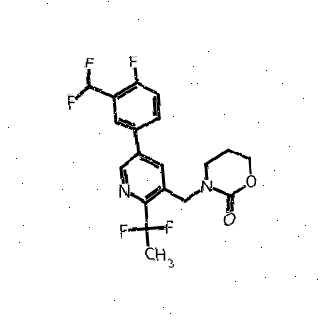 CC(F)(F)c1ncc(-c2ccc(F)c(C(F)F)c2)cc1CN1CCCOC1=O